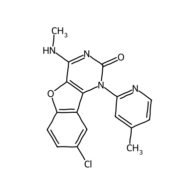 CNc1nc(=O)n(-c2cc(C)ccn2)c2c1oc1ccc(Cl)cc12